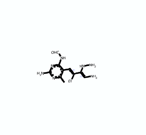 CCC(=C\c1c(C)nc(N)nc1NC=O)/C(=C/N)NN